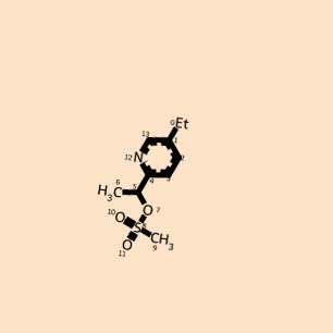 CCc1ccc(C(C)OS(C)(=O)=O)nc1